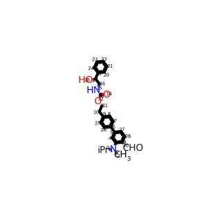 CC(C)N(C)c1cc(-c2ccc(CCOC(=O)NC[C@H](O)c3ccccc3)cc2)ccc1C=O